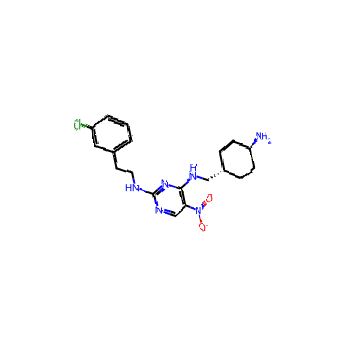 N[C@H]1CC[C@H](CNc2nc(NCCc3cccc(Cl)c3)ncc2[N+](=O)[O-])CC1